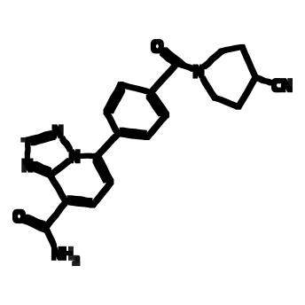 N#CC1CCN(C(=O)c2ccc(-c3ccc(C(N)=O)c4n[c]nn34)cc2)CC1